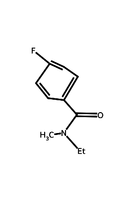 CCN(C)C(=O)c1ccc(F)cc1